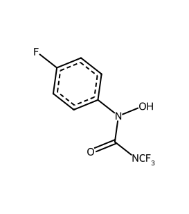 O=C(NC(F)(F)F)N(O)c1ccc(F)cc1